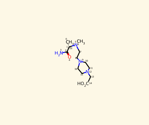 C[C@@H](C(N)=O)N(C)CCN1CCN(CC(=O)O)CC1